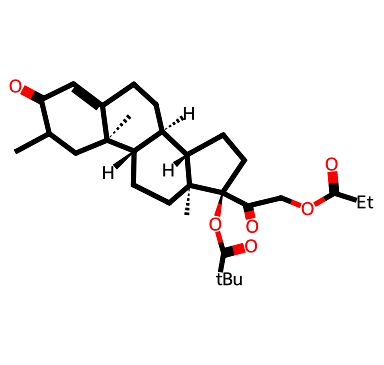 CCC(=O)OCC(=O)[C@@]1(OC(=O)C(C)(C)C)CC[C@H]2[C@@H]3CCC4=CC(=O)C(C)C[C@]4(C)[C@H]3CC[C@@]21C